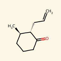 C=CC[C@@H]1C(=O)CCC[C@H]1C